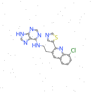 Clc1cccc2cc(CCNc3ncnc4[nH]cnc34)c(-c3cncs3)nc12